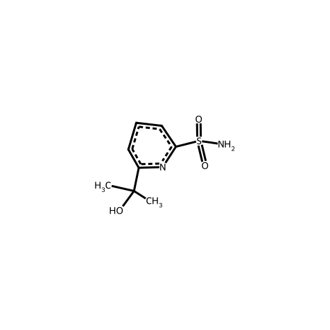 CC(C)(O)c1cccc(S(N)(=O)=O)n1